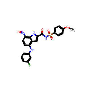 COc1ccc(S(=O)(=O)NC(=O)c2cc3c(Nc4cccc(F)c4)ccc(N=O)c3[nH]2)cc1